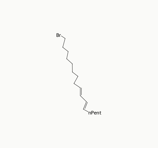 CCCCCC=CC=CCCCCCCCCBr